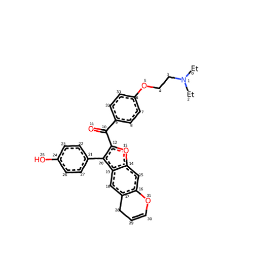 CCN(CC)CCOc1ccc(C(=O)c2oc3cc4c(cc3c2-c2ccc(O)cc2)CC=CO4)cc1